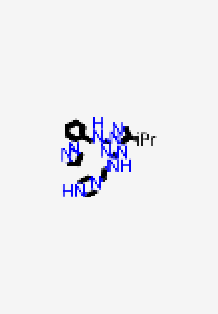 CC(C)c1cnn2c(NCc3ccccc3-n3cccn3)nc(NCCN3CCNCC3)nc12